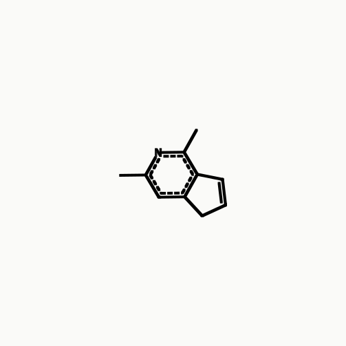 Cc1cc2c(c(C)n1)C=CC2